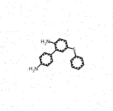 Nc1ccc(-c2cc(Sc3ccccc3)ccc2N)cc1